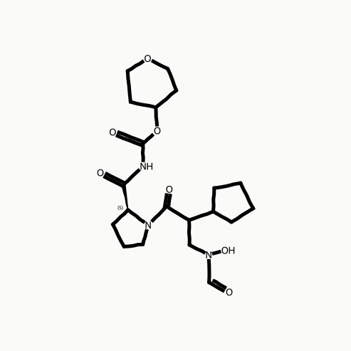 O=CN(O)CC(C(=O)N1CCC[C@H]1C(=O)NC(=O)OC1CCOCC1)C1CCCC1